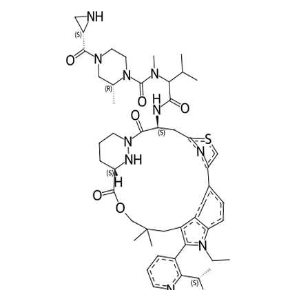 CCn1c(-c2cccnc2[C@H](C)OC)c2c3cc(ccc31)-c1csc(n1)C[C@H](NC(=O)C(C(C)C)N(C)C(=O)N1CCN(C(=O)[C@@H]3CN3)C[C@H]1C)C(=O)N1CCC[C@H](N1)C(=O)OCC(C)(C)C2